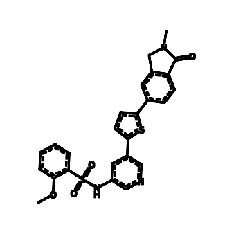 COc1ccccc1S(=O)(=O)Nc1cncc(-c2ccc(-c3ccc4c(c3)CN(C)C4=O)s2)c1